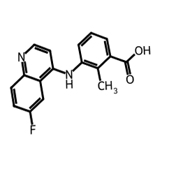 Cc1c(Nc2ccnc3ccc(F)cc23)cccc1C(=O)O